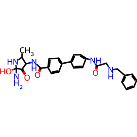 CC1NC(N)(O)C(=O)C1NC(=O)c1ccc(-c2ccc(NC(=O)CNCc3ccccc3)cc2)cc1